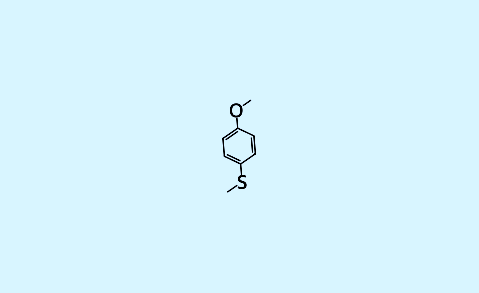 COc1ccc(SC)cc1